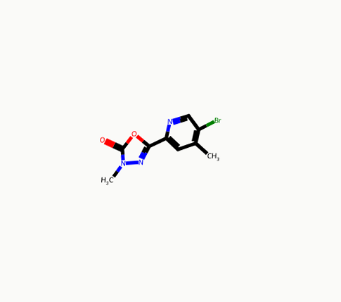 Cc1cc(-c2nn(C)c(=O)o2)ncc1Br